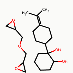 C(OCC1CO1)C1CO1.CC(C)=C1CCC(C2(O)CCCCC2O)CC1